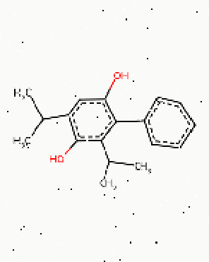 CC(C)c1cc(O)c(-c2ccccc2)c(C(C)C)c1O